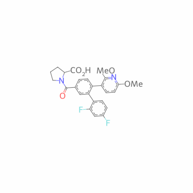 COc1ccc(-c2ccc(C(=O)N3CCCC3C(=O)O)cc2-c2ccc(F)cc2F)c(OC)n1